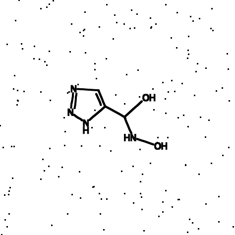 ONC(O)c1cnn[nH]1